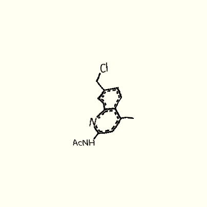 CC(=O)Nc1cc(C)c2ccc(CCl)cc2n1